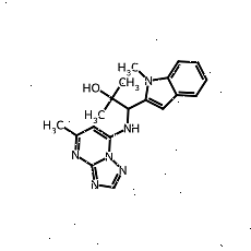 Cc1cc(NC(c2cc3ccccc3n2C)C(C)(C)O)n2ncnc2n1